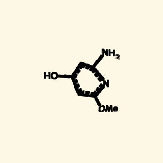 COc1cc(O)cc(N)n1